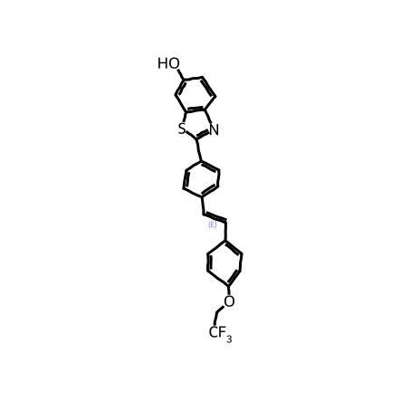 Oc1ccc2nc(-c3ccc(/C=C/c4ccc(OCC(F)(F)F)cc4)cc3)sc2c1